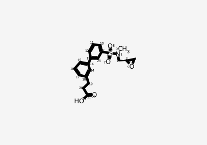 CN(C[C@H]1CO1)S(=O)(=O)c1cccc(-c2cccc(CCC(=O)O)c2)c1